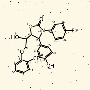 O=C1OC(C(O)COc2ccccc2C(F)(F)F)C(c2ccc(O)cc2)N1c1ccc(F)cc1